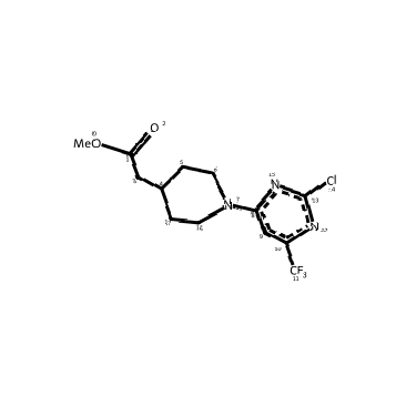 COC(=O)CC1CCN(c2cc(C(F)(F)F)nc(Cl)n2)CC1